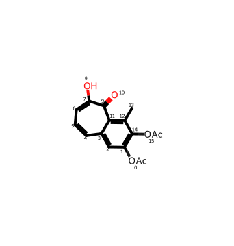 CC(=O)Oc1cc2cccc(O)c(=O)c2c(C)c1OC(C)=O